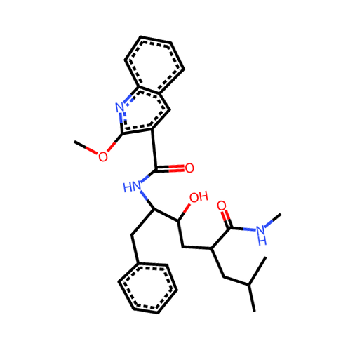 CNC(=O)C(CC(C)C)CC(O)C(Cc1ccccc1)NC(=O)c1cc2ccccc2nc1OC